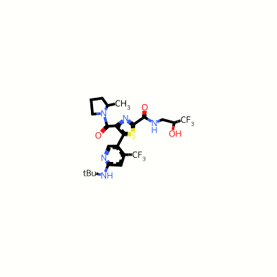 CC1CCCN1C(=O)c1nc(C(=O)NCC(O)C(F)(F)F)sc1-c1cnc(NC(C)(C)C)cc1C(F)(F)F